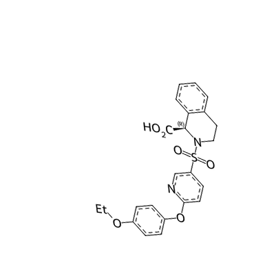 CCOc1ccc(Oc2ccc(S(=O)(=O)N3CCc4ccccc4[C@@H]3C(=O)O)cn2)cc1